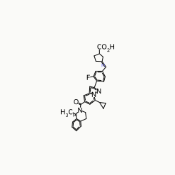 C[C@@H]1c2ccccc2CCN1C(=O)c1cc(C2CC2)n2nc(-c3ccc(/C=C4\CCC(C(=O)O)C4)cc3F)cc2c1